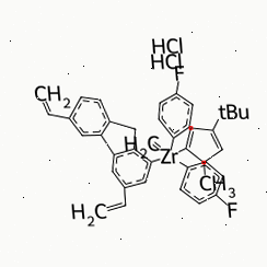 C=Cc1ccc2c(c1)-c1cc(C=C)c[c]([Zr](=[CH2])([C]3=CC(C(C)(C)C)=CC3C)([c]3ccc(F)cc3)[c]3ccc(F)cc3)c1C2.Cl.Cl